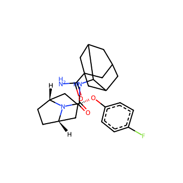 NC(=O)C12CC3CC(C1)C(NC(=O)N1[C@@H]4CC[C@H]1C[C@@H](Oc1ccc(F)cc1)C4)C(C3)C2